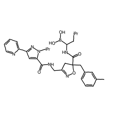 Cc1cccc(CC2(C(=O)NC(CC(C)C)B(O)O)CC(CNC(=O)c3cc(-c4ccccn4)nn3C(C)C)=NO2)c1